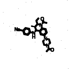 CCC1[C@H](C)C(Nc2ccc(C#N)cc2)c2cc(N3CCN(C(C)=O)CC3)ccc2N1C(C)=O